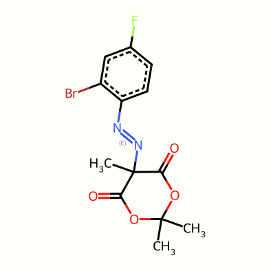 CC1(C)OC(=O)C(C)(/N=N/c2ccc(F)cc2Br)C(=O)O1